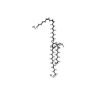 CCCCC/C=C\C/C=C\CCCCCCCCOC(CCCCCCCCCCCCCCC)O[Si](C)(C)OCCCCCCBr